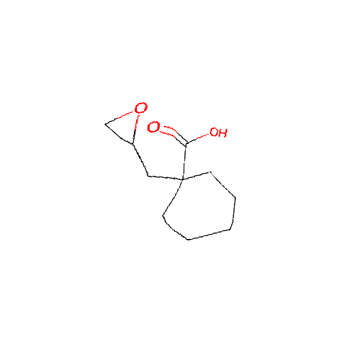 O=C(O)C1(CC2CO2)CCCCC1